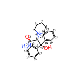 NC(=O)C(N1CCCCC1)C(O)(c1ccccc1)c1ccccc1